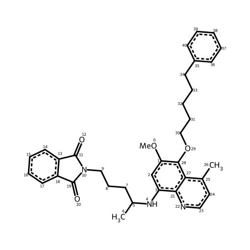 COc1cc(NC(C)CCCN2C(=O)c3ccccc3C2=O)c2nccc(C)c2c1OCCCCCc1ccccc1